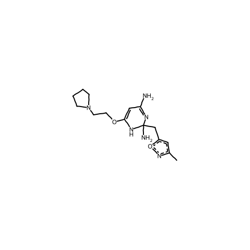 Cc1cc(CC2(N)N=C(N)C=C(OCCN3CCCC3)N2)on1